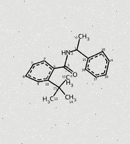 CC(NC(=O)c1ccccc1C(C)(C)C)c1ccccc1